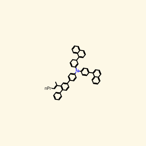 CCC/C=C(\C)c1cc(-c2ccc(N(C3=CC(c4cccc5ccccc45)CC=C3)c3ccc(-c4cccc5ccccc45)cc3)cc2)ccc1-c1ccccc1